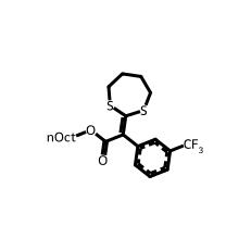 CCCCCCCCOC(=O)C(=C1SCCCCS1)c1cccc(C(F)(F)F)c1